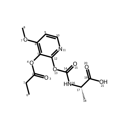 CCC(=O)Oc1c(OC)ccnc1OC(=O)N[C@@H](C)C(=O)O